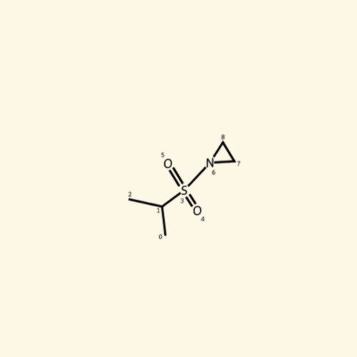 CC(C)S(=O)(=O)N1CC1